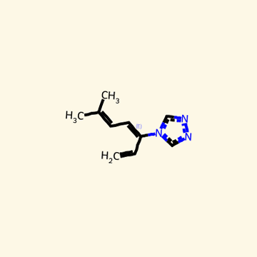 C=C/C(=C\C=C(C)C)n1cnnc1